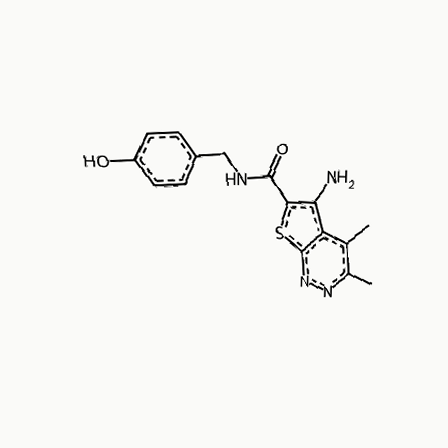 Cc1nnc2sc(C(=O)NCc3ccc(O)cc3)c(N)c2c1C